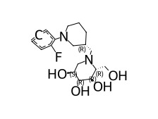 OC[C@@H]1[C@@H](O)[C@H](O)[C@@H](O)CN1C[C@H]1CCCN(c2ccccc2F)C1